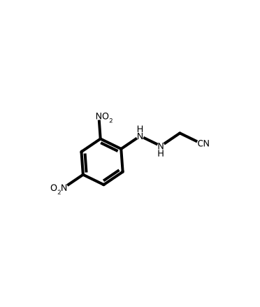 N#CCNNc1ccc([N+](=O)[O-])cc1[N+](=O)[O-]